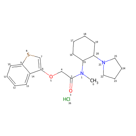 CN(C(=O)COc1csc2ccccc12)C1CCCCC1N1CCCC1.Cl